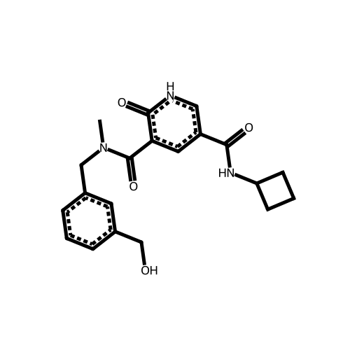 CN(Cc1cccc(CO)c1)C(=O)c1cc(C(=O)NC2CCC2)c[nH]c1=O